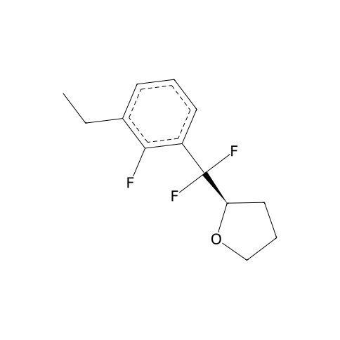 CCc1cccc(C(F)(F)[C@H]2CCCO2)c1F